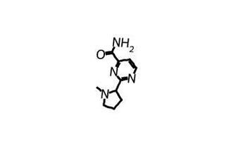 CN1CCCC1c1nccc(C(N)=O)n1